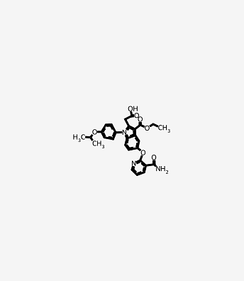 CCOC(=O)c1c(CC(=O)O)n(-c2ccc(OC(C)C)cc2)c2ccc(Oc3ncccc3C(N)=O)cc12